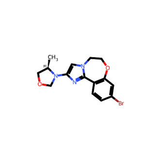 C[C@@H]1COCN1c1cn2c(n1)-c1ccc(Br)cc1OCC2